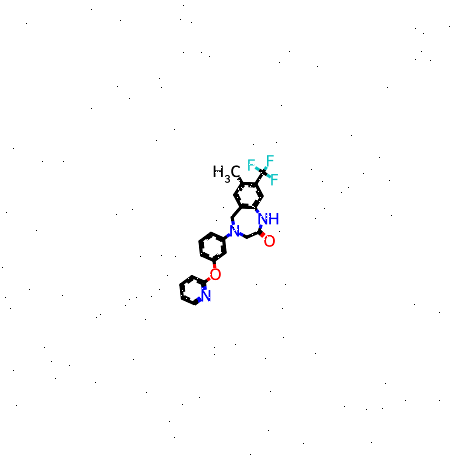 Cc1cc2c(cc1C(F)(F)F)NC(=O)CN(c1cccc(Oc3ccccn3)c1)C2